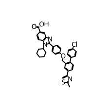 Cc1nc(-c2ccc(-c3ccc(Cl)cc3)c(COc3ccc(-c4nc5cc(C(=O)O)ccc5n4C4CCCCC4)cc3)c2)cs1